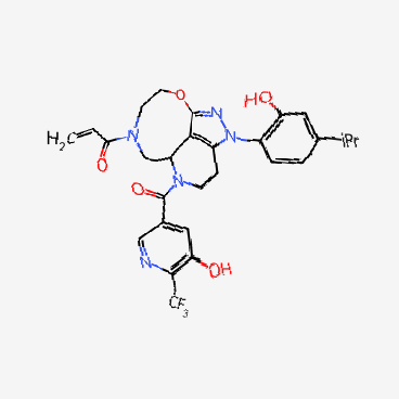 C=CC(=O)N1CCOc2nn(-c3ccc(C(C)C)cc3O)c3c2C(C1)N(C(=O)c1cnc(C(F)(F)F)c(O)c1)CC3